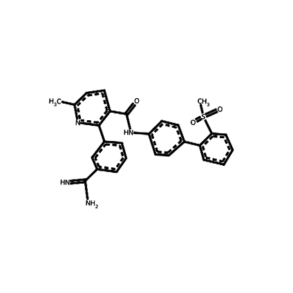 Cc1ccc(C(=O)Nc2ccc(-c3ccccc3S(C)(=O)=O)cc2)c(-c2cccc(C(=N)N)c2)n1